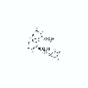 O=C(O)c1ccccc1.O=C(O)c1ccccc1.OCC1C=CCC1